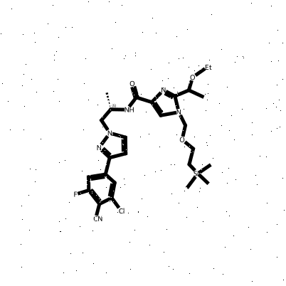 CCOC(C)c1nc(C(=O)N[C@@H](C)Cn2ccc(-c3cc(F)c(C#N)c(Cl)c3)n2)cn1COCC[Si](C)(C)C